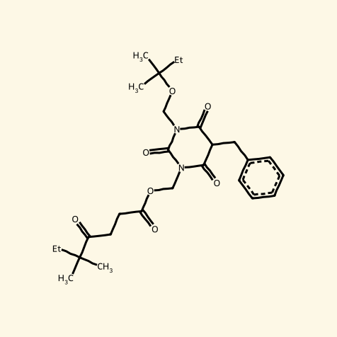 CCC(C)(C)OCN1C(=O)C(Cc2ccccc2)C(=O)N(COC(=O)CCC(=O)C(C)(C)CC)C1=O